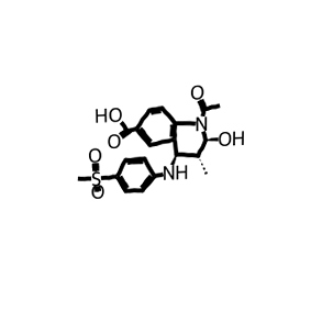 CC(=O)N1c2ccc(C(=O)O)cc2[C@H](Nc2ccc(S(C)(=O)=O)cc2)[C@@H](C)[C@@H]1O